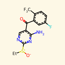 CC[S+]([O-])c1ncc(C(=O)c2cc(F)ccc2C(F)(F)F)c(N)n1